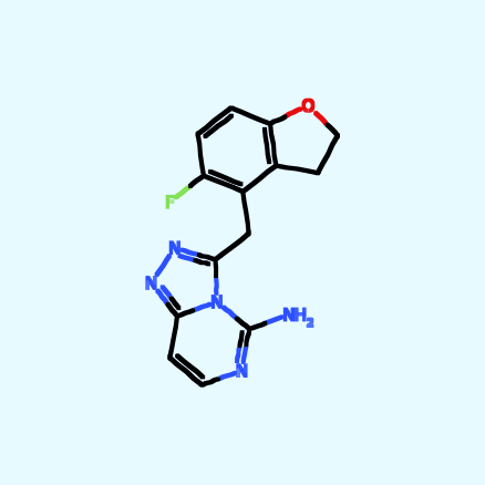 Nc1nccc2nnc(Cc3c(F)ccc4c3CCO4)n12